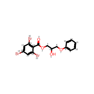 O=C(OCC(O)COc1ccccc1)c1c(Br)cc(Br)cc1Br